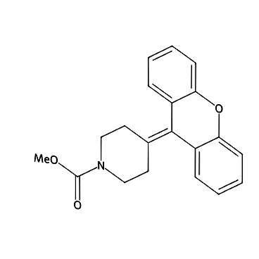 COC(=O)N1CCC(=C2c3ccccc3Oc3ccccc32)CC1